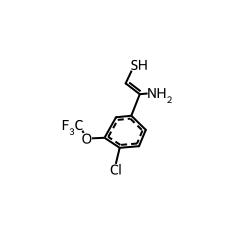 N/C(=C\S)c1ccc(Cl)c(OC(F)(F)F)c1